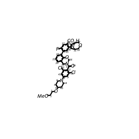 COCCOC1CCN(c2cc(Cl)c(C(=O)N3COc4c(cccc4-c4cc(N5C6CCC5COC6)c(C(=O)O)cc4F)C3)c(Cl)c2)CC1